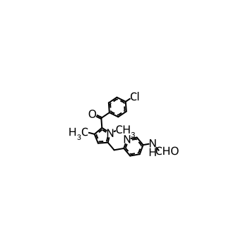 Cc1cc(Cc2ccc(NC=O)cn2)n(C)c1C(=O)c1ccc(Cl)cc1